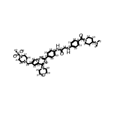 CN(C)C1CCN(C(=O)c2ccc(NCC(=O)Nc3ccc(-c4nc(N5CCOCC5)c5cc(CN6CCN(S(C)(=O)=O)CC6)cn5n4)cc3)cc2)CC1